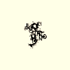 NC(=O)n1c[c]c(C(C(=O)N2CC3CN(CC4CC4)CC3C2)c2cc(Cl)ccc2OC(F)F)n1